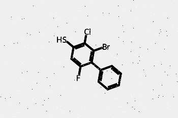 Fc1cc(S)c(Cl)c(Br)c1-c1ccccc1